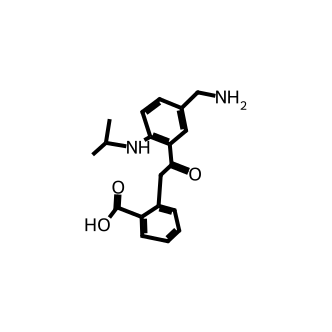 CC(C)Nc1ccc(CN)cc1C(=O)Cc1ccccc1C(=O)O